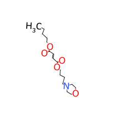 CCCCCOC(=O)/C=C/C(=O)OCCCCN1CCOCC1